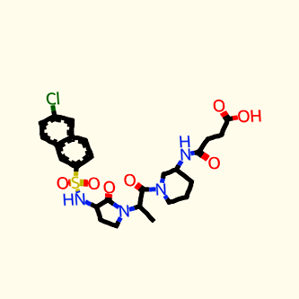 CC(C(=O)N1CCCC(NC(=O)CCC(=O)O)C1)N1CCC(NS(=O)(=O)c2ccc3cc(Cl)ccc3c2)C1=O